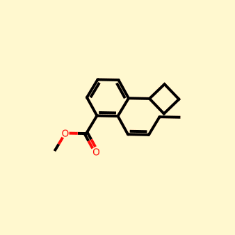 CC/C=C\c1c(C(=O)OC)cccc1C1CCC1